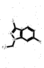 Fc1nn(CC(F)(F)F)c2cc(Br)ccc12